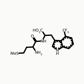 CSCCC(N)C(=O)NC(Cc1c[nH]c2cccc(C(F)(F)F)c12)C(=O)O